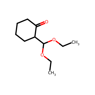 CCOC(OCC)C1CCCCC1=O